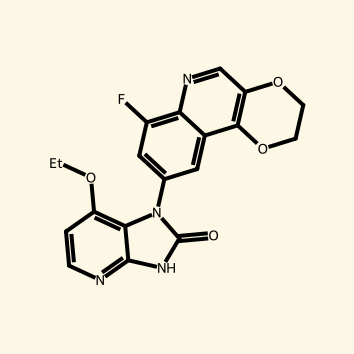 CCOc1ccnc2[nH]c(=O)n(-c3cc(F)c4ncc5c(c4c3)OCCO5)c12